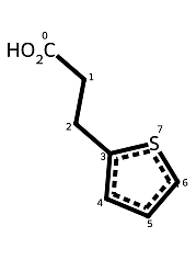 O=C(O)CCc1cc[c]s1